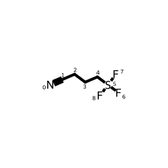 N#CCCCS(F)(F)F